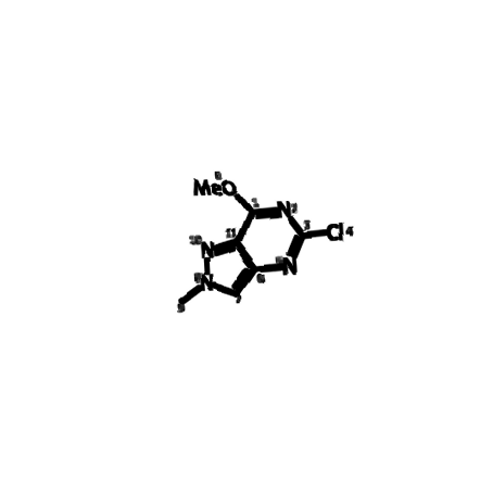 COc1nc(Cl)nc2cn(C)nc12